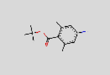 Cc1cc(N)cc(C)c1C(=O)OC(C)(C)C